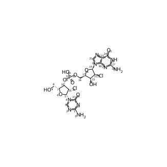 Nc1ncn([C@@H]2O[C@H](CO)[C@H](OP(=O)(O)OC[C@H]3O[C@@H](n4cnc5c(=O)[nH]c(N)nc54)[C@@H](Cl)[C@H]3O)[C@@H]2Cl)c(=O)n1